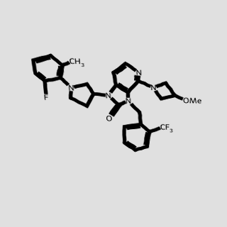 COC1CN(c2nccc3c2n(Cc2ccccc2C(F)(F)F)c(=O)n3C2CCN(c3c(C)cccc3F)C2)C1